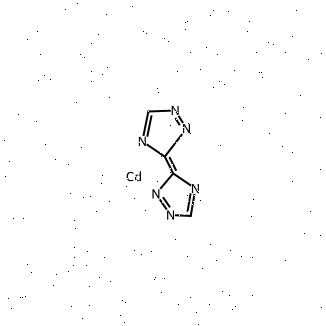 C1=NC(=C2N=CN=N2)N=N1.[Cd]